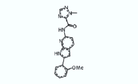 COc1ccccc1-c1cc2ccc(NC(=O)c3ncnn3C)nc2[nH]1